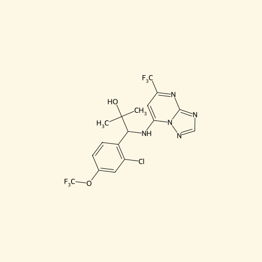 CC(C)(O)C(Nc1cc(C(F)(F)F)nc2ncnn12)c1ccc(OC(F)(F)F)cc1Cl